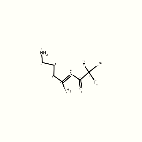 NCCCC(N)=NC(=O)C(F)(F)F